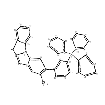 Cc1cc2nc3n(c2cc1-c1cccc([Si](c2ccccc2)(c2ccccc2)c2ccccc2)c1)-c1ccccc1C3